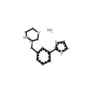 Cl.c1cc(C[C@@H]2COCCN2)cc(-c2ncco2)c1